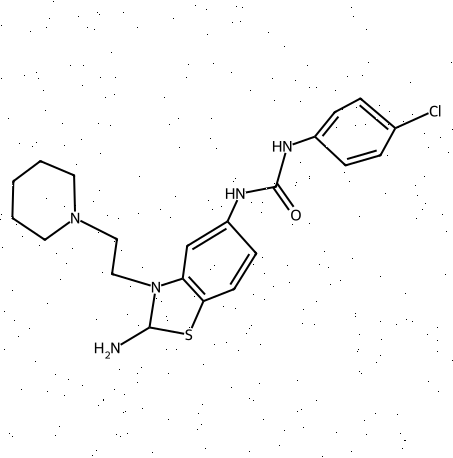 NC1Sc2ccc(NC(=O)Nc3ccc(Cl)cc3)cc2N1CCN1CCCCC1